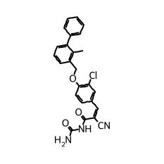 Cc1c(COc2ccc(C=C(C#N)C(=O)NC(N)=O)cc2Cl)cccc1-c1ccccc1